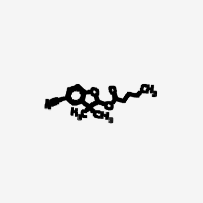 CCCCC(=O)OC1Oc2ccc(C#N)cc2C1(C)C